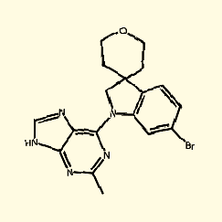 Cc1nc(N2CC3(CCOCC3)c3ccc(Br)cc32)c2nc[nH]c2n1